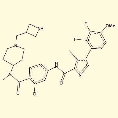 COc1ccc(-c2cnc(C(=O)Nc3ccc(C(=O)N(C)C4CCN(CC5CNC5)CC4)c(Cl)c3)n2C)c(F)c1F